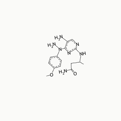 COc1ccc(N(N)c2nc(NC(C)CC(N)=O)ncc2N)cc1